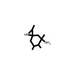 CC1CC2(CC(C)(N)C1C)NC2C